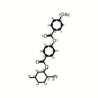 CC(=O)Oc1ccc(C(=O)Oc2ccc(C(=O)OC3CC(C)CCC3C(C)C)cc2)cc1